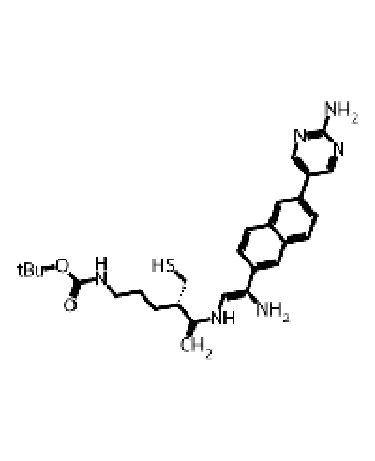 C=C(N/C=C(\N)c1ccc2cc(-c3cnc(N)nc3)ccc2c1)[C@@H](CS)CCCNC(=O)OC(C)(C)C